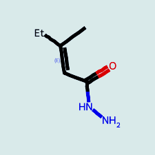 CC/C(C)=C/C(=O)NN